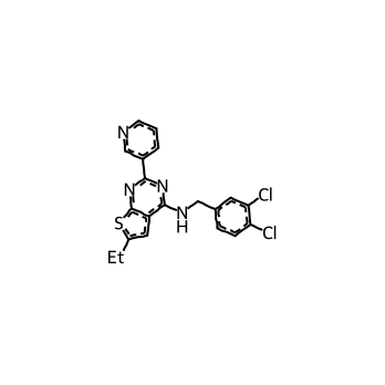 CCc1cc2c(NCc3ccc(Cl)c(Cl)c3)nc(-c3cccnc3)nc2s1